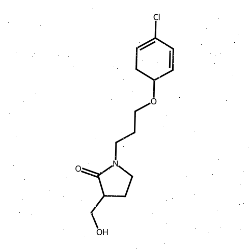 O=C1C(CO)CCN1CCCOC1C=CC(Cl)=CC1